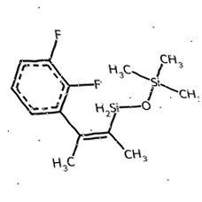 CC([SiH2]O[Si](C)(C)C)=C(C)c1cccc(F)c1F